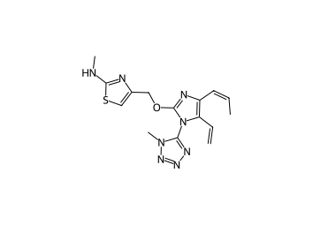 C=Cc1c(/C=C\C)nc(OCc2csc(NC)n2)n1-c1nnnn1C